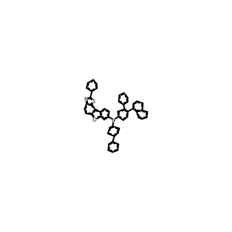 c1ccc(-c2ccc(N(c3ccc(-c4cccc5ccccc45)c(-c4ccccc4)c3)c3ccc4c(c3)oc3ccc5nc(-c6ccccc6)sc5c34)cc2)cc1